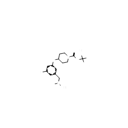 CN(C)Cc1cc(F)cc(OC2CCN(C(=O)OC(C)(C)C)CC2)c1